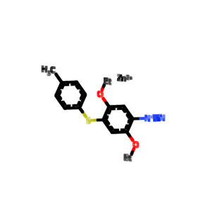 CCOc1cc(Sc2ccc(C)cc2)c(OCC)cc1[N+]#N.[Zn+2]